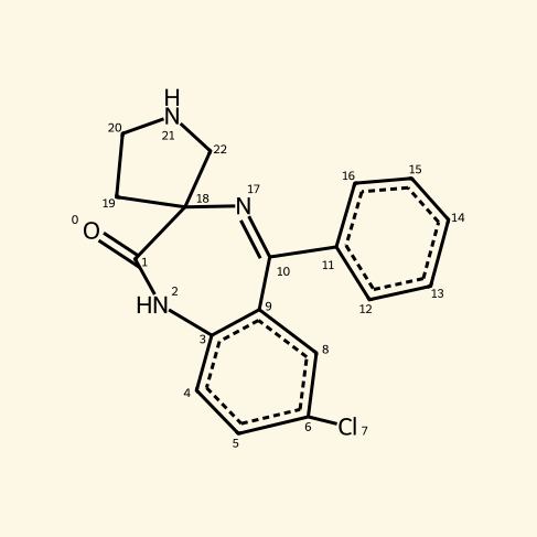 O=C1Nc2ccc(Cl)cc2C(c2ccccc2)=NC12CCNC2